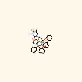 Cc1cn([C@H]2C[C@@](O)([si]3ccccc3-c3ccccc3)[C@@H](C(O)C(c3ccccc3)(c3ccccc3)c3ccccc3)O2)c(=O)[nH]c1=O